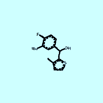 Cc1ccsc1C(O)c1ccc(F)c(C(C)(C)C)c1